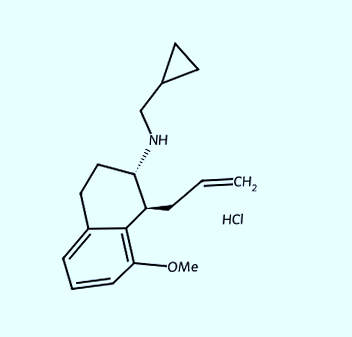 C=CC[C@H]1c2c(cccc2OC)CC[C@@H]1NCC1CC1.Cl